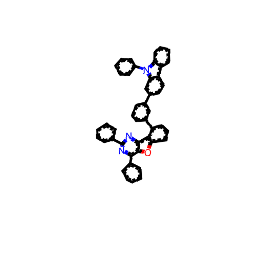 c1ccc(-c2nc(-c3ccccc3)c3oc4cccc(-c5cccc(-c6ccc7c8ccccc8n(-c8ccccc8)c7c6)c5)c4c3n2)cc1